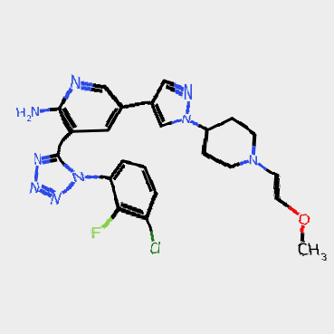 COCCN1CCC(n2cc(-c3cnc(N)c(-c4nnnn4-c4cccc(Cl)c4F)c3)cn2)CC1